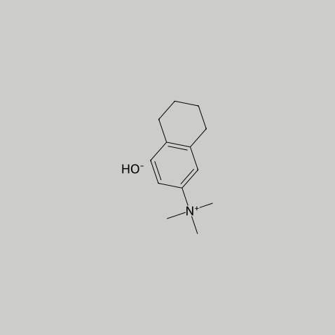 C[N+](C)(C)c1ccc2c(c1)CCCC2.[OH-]